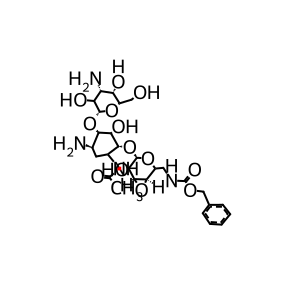 CC(=O)NC1C[C@@H](N)[C@@H](O[C@H]2OC(CO)[C@@H](O)[C@@H](N)C2O)C(O)[C@@H]1O[C@H]1OC(CNC(=O)OCc2ccccc2)[C@H]2O[C@@H]2C1O